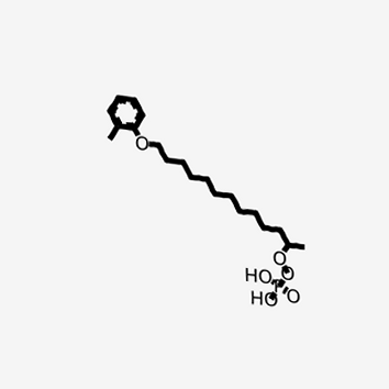 Cc1ccccc1OCCCCCCCCCCCC(C)OOP(=O)(O)O